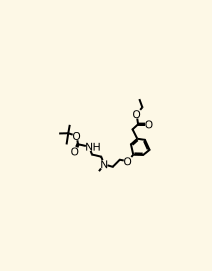 CCOC(=O)Cc1cccc(OCCN(C)CCNC(=O)OC(C)(C)C)c1